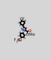 COC(=O)C1CC(c2ccc(C(F)(F)F)cc2)=NN1c1ccc(OC(F)(F)F)cc1